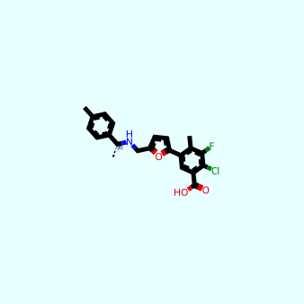 Cc1ccc([C@@H](C)NCc2ccc(-c3cc(C(=O)O)c(Cl)c(F)c3C)o2)cc1